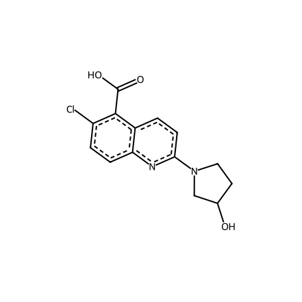 O=C(O)c1c(Cl)ccc2nc(N3CCC(O)C3)ccc12